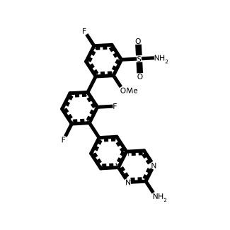 COc1c(-c2ccc(F)c(-c3ccc4nc(N)ncc4c3)c2F)cc(F)cc1S(N)(=O)=O